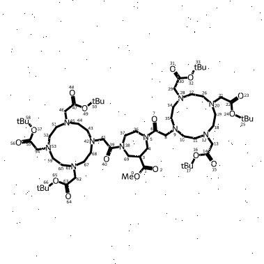 COC(=O)C1CN(C(=O)CN2CCN(CC(=O)OC(C)(C)C)CCN(CC(=O)OC(C)(C)C)CCN(CC(=O)OC(C)(C)C)CC2)CCN(C(=O)CN2CCN(CC(=O)OC(C)(C)C)CCN(CC(=O)OC(C)(C)C)CCN(CC(=O)OC(C)(C)C)CC2)C1